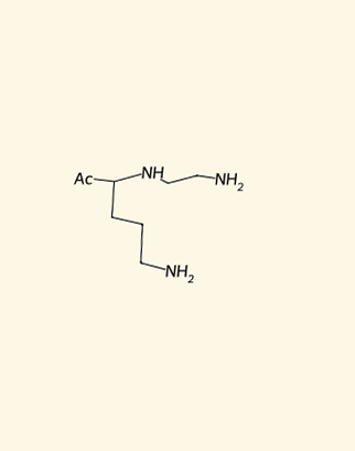 CC(=O)C(CCCN)NCCN